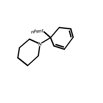 CCCCCC1(N2CCCCC2)C=CC=CC1